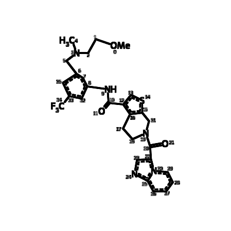 COCCN(C)Cc1cc(NC(=O)c2csc3c2CCN(C(=O)c2cnc4ccccn24)C3)cc(C(F)(F)F)c1